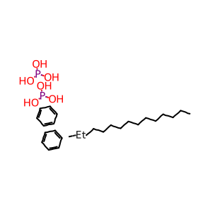 CCC.CCCCCCCCCCCCC.OP(O)O.OP(O)O.c1ccccc1.c1ccccc1